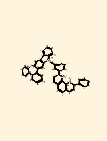 C1=CC(c2ccccc2)Nc2c1ccc1c2NC(c2cccc(-n3c4ccccc4c4cc5c(cc43)-c3ccccc3-c3ccccc3O5)c2)C=C1